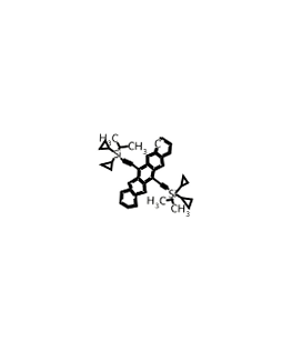 CC(C)[Si](C#Cc1c2cc3ccccc3cc2c(C#C[Si](C(C)C)(C2CC2)C2CC2)c2cc3ccccc3cc12)(C1CC1)C1CC1